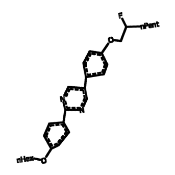 CCCCCCOc1ccc(-c2ncc(-c3ccc(OCC(F)CCCCC)cc3)cn2)cc1